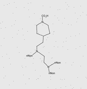 CCCCCCCCCN(CCCCCCCCC)CCN(CCCCCCCCC)CCC1CCN(C(=O)O)CC1